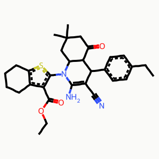 CCOC(=O)c1c(N2C(N)=C(C#N)C(c3ccc(CC)cc3)C3C(=O)CC(C)(C)CC32)sc2c1CCCC2